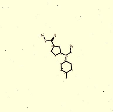 CC(C)CN(C1CCC(C)CC1)C1CCN(C(=O)OC(C)(C)C)C1